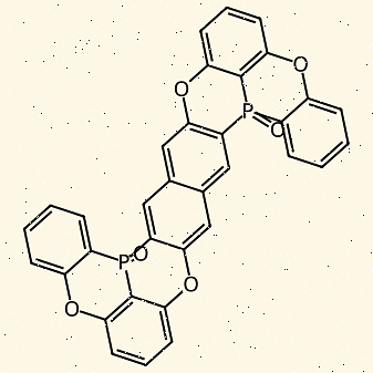 O=P12c3ccccc3Oc3cccc(c31)Oc1cc3cc4c(cc3cc12)Oc1cccc2c1P4(=O)c1ccccc1O2